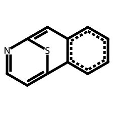 C1=NC2=Cc3ccccc3C(=C1)S2